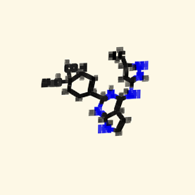 COC1(C(=O)O)CC=C(c2nc(Nc3cc(C)[nH]n3)c3cc[nH]c3n2)CC1